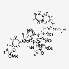 COC(=O)[C@@H](C)Cc1ccc(OCc2cn([C@H]3C[C@@H](C(=O)N[C@@H](Cc4ccc5ccccc5c4)C(=O)O)N(C(=O)[C@@H](NC(=O)[C@H](C)N(C)C(=O)OC(C)(C)C)C(C)(C)C)C3)nn2)cc1